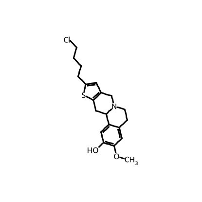 COc1cc2c(cc1O)C1Cc3sc(CCCCCl)cc3CN1CC2